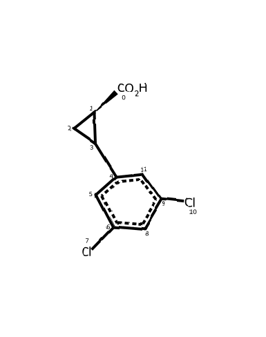 O=C(O)[C@@H]1CC1c1cc(Cl)cc(Cl)c1